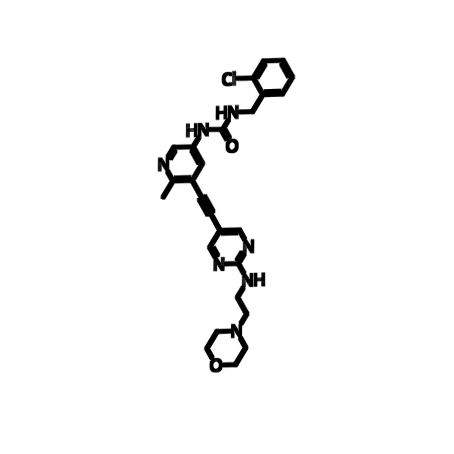 Cc1ncc(NC(=O)NCc2ccccc2Cl)cc1C#Cc1cnc(NCCN2CCOCC2)nc1